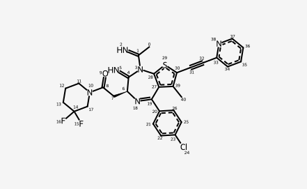 CC(=N)N1C(=N)[C@H](CC(=O)N2CCCC(F)(F)C2)N=C(c2ccc(Cl)cc2)c2c1sc(C#Cc1ccccn1)c2C